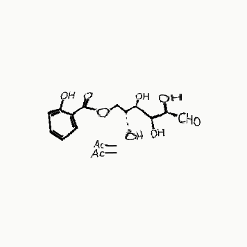 CC(C)=O.CC(C)=O.O=C[C@H](O)[C@@H](O)[C@H](O)[C@H](O)COC(=O)c1ccccc1O